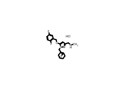 CNCc1cc(OCc2cc(F)ccc2F)n(CC2OC3CCC2CC3)n1.Cl